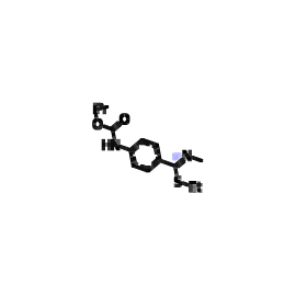 CCS/C(=N\C)c1ccc(NC(=O)OC(C)C)cc1